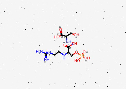 N=C(N)NCCNC(COP(=O)(O)O)C(=O)O.NC(CO)C(=O)O